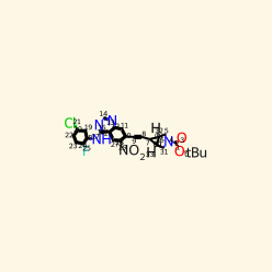 CC(C)(C)OC(=O)N1C[C@@H]2C(C#Cc3cc4ncnc(Nc5cc(Cl)ccc5F)c4cc3[N+](=O)[O-])[C@@H]2C1